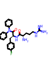 N=C(N)NCCC[C@H](N)C(=O)N[C@@H](Cc1ccc(F)cc1)C(=O)N(c1ccccc1)c1ccccc1